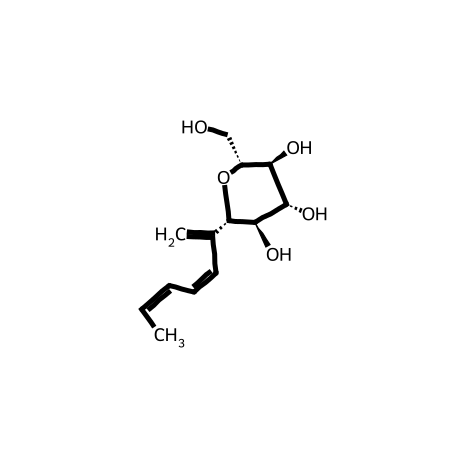 C=C(/C=C\C=C/C)[C@@H]1O[C@H](CO)[C@@H](O)[C@H](O)[C@H]1O